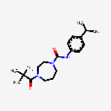 CC(C)c1ccc(NC(=O)N2CCCN(C(=O)C(C)(C)C)CC2)cc1